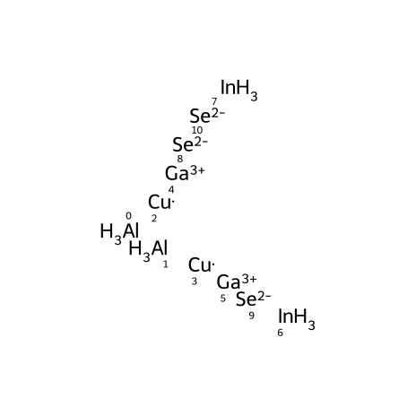 [AlH3].[AlH3].[Cu].[Cu].[Ga+3].[Ga+3].[InH3].[InH3].[Se-2].[Se-2].[Se-2]